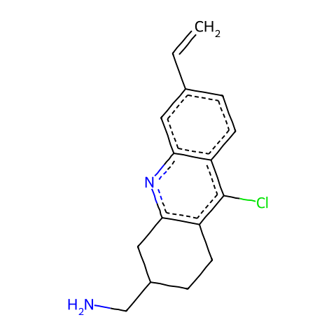 C=Cc1ccc2c(Cl)c3c(nc2c1)CC(CN)CC3